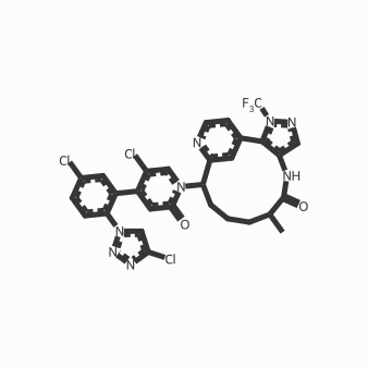 CC1CCCC(n2cc(Cl)c(-c3cc(Cl)ccc3-n3cc(Cl)nn3)cc2=O)c2cc(ccn2)-c2c(cnn2C(F)(F)F)NC1=O